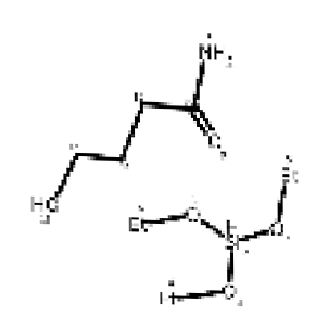 CCO[SiH](OCC)OCC.NC(=O)CCCO